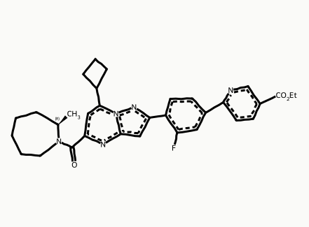 CCOC(=O)c1ccc(-c2ccc(-c3cc4nc(C(=O)N5CCCCC[C@H]5C)cc(C5CCC5)n4n3)c(F)c2)nc1